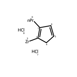 CCCC1=[C]([Zr])CC=C1.Cl.Cl